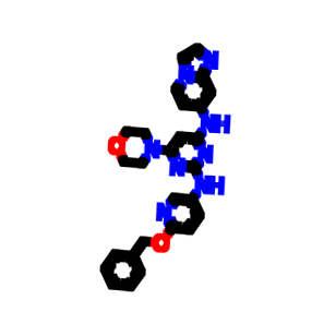 c1ccc(COc2ccc(Nc3nc(Nc4ccn5ccnc5c4)cc(N4CCOCC4)n3)cn2)cc1